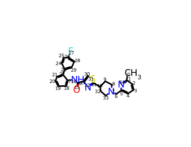 Cc1cccc(CN2CCC(c3nc(C(=O)Nc4ccccc4-c4ccc(F)cc4)cs3)CC2)n1